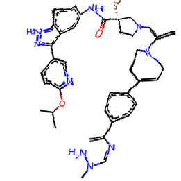 C=C(/N=C\N(C)N)c1ccc(C2=CCN(C(=C)CN3CC[C@@](SC)(C(=O)Nc4ccc5[nH]nc(-c6ccc(OC(C)C)nc6)c5c4)C3)CC2)cc1